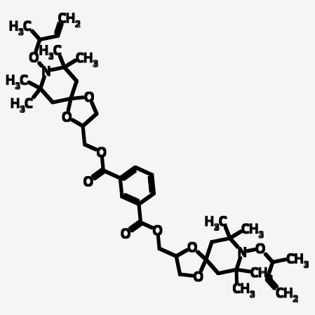 C=CC(C)ON1C(C)(C)CC2(CC1(C)C)OCC(COC(=O)c1cccc(C(=O)OCC3COC4(CC(C)(C)N(OC(C)C=C)C(C)(C)C4)O3)c1)O2